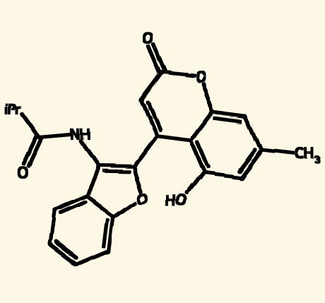 Cc1cc(O)c2c(-c3oc4ccccc4c3NC(=O)C(C)C)cc(=O)oc2c1